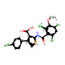 COc1c(Br)cc(Br)c(C(=O)Nc2scc(-c3ccc(Br)cc3)c2C(=O)O)c1Br